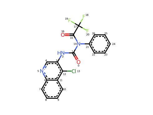 O=C(Nc1cnc2ccccc2c1Cl)N(C(=O)C(F)(F)F)c1ccccc1